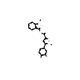 Cn1nc(C(=O)Nc2nn(C)c3ccccc23)cc1-c1ccc(Cl)c(Cl)c1